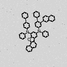 c1ccc(-c2ccc(N(c3ccccc3)c3cc(N(c4ccccc4)c4ccc(-c5ccccc5)c(-c5ccc6ccccc6c5)c4)cc4c3oc3c5ccccc5ccc43)cc2)cc1